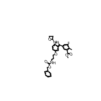 COC(=O)c1cc(-c2nn(C3CCO3)c3ccc(OCCCNC(=O)OCc4ccccc4)cc23)cc(F)c1C